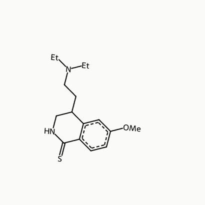 CCN(CC)CCC1CNC(=S)c2ccc(OC)cc21